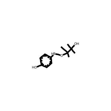 CC(C)(O)C(C)(C)OBc1ccc(O)cc1